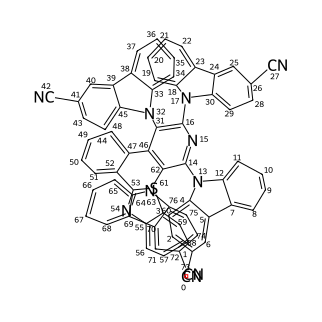 N#Cc1ccc2c(c1)c1ccccc1n2-c1nc(-n2c3ccccc3c3cc(C#N)ccc32)c(-n2c3ccccc3c3cc(C#N)ccc32)c(-c2ccccc2-c2nc3ccccc3s2)c1-n1c2ccccc2c2cc(C#N)ccc21